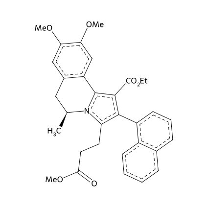 CCOC(=O)c1c(-c2cccc3ccccc23)c(CCC(=O)OC)n2c1-c1cc(OC)c(OC)cc1C[C@@H]2C